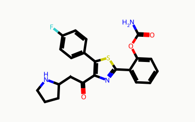 NC(=O)Oc1ccccc1-c1nc(C(=O)[CH]C2CCCN2)c(-c2ccc(F)cc2)s1